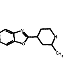 CC1CC(c2nc3ccccc3o2)CC[N]1